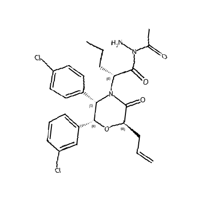 C=CC[C@H]1O[C@H](c2cccc(Cl)c2)[C@H](c2ccc(Cl)cc2)N([C@H](CCC)C(=O)N(N)C(C)=O)C1=O